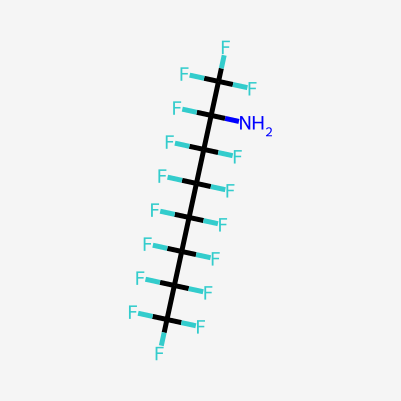 NC(F)(C(F)(F)F)C(F)(F)C(F)(F)C(F)(F)C(F)(F)C(F)(F)C(F)(F)F